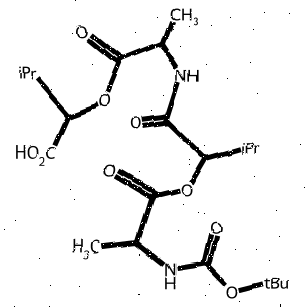 CC(NC(=O)C(OC(=O)C(C)NC(=O)OC(C)(C)C)C(C)C)C(=O)OC(C(=O)O)C(C)C